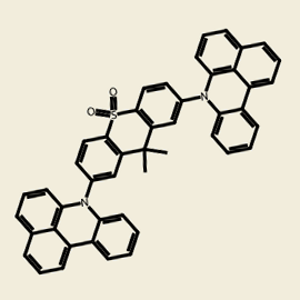 CC1(C)c2cc(N3c4ccccc4-c4cccc5cccc3c45)ccc2S(=O)(=O)c2ccc(N3c4ccccc4-c4cccc5cccc3c45)cc21